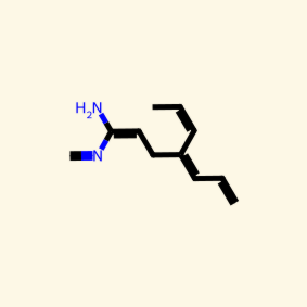 C=C/C=C(\C=C/C)C/C=C(/N)N=C